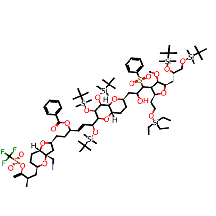 C=C(OS(=O)(=O)C(F)(F)F)[C@H](C)C[C@H]1CC[C@@H]2O[C@@H](CCC(C=C[C@H](O[Si](C)(C)C(C)(C)C)[C@@H]3O[C@H]4CC[C@H](CC(O)C(C5[C@H](CCO[Si](CC)(CC)CC)O[C@H](C[C@@H](CO[Si](C)(C)C(C)(C)C)O[Si](C)(C)C(C)(C)C)[C@@H]5OC)S(=O)(=O)c5ccccc5)O[C@@H]4[C@H](O[Si](C)(C)C(C)(C)C)[C@@H]3O[Si](C)(C)C(C)(C)C)OC(=O)c3ccccc3)C[C@]2(CI)O1